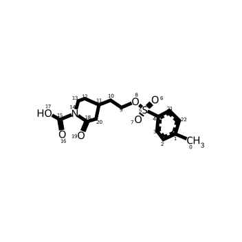 Cc1ccc(S(=O)(=O)OCCC2CCN(C(=O)O)C(=O)C2)cc1